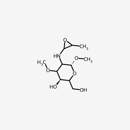 COC1C(NC2OC2C)[C@H](OC)OC(CO)[C@H]1O